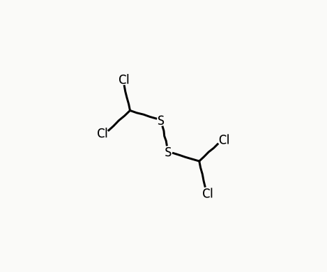 ClC(Cl)SSC(Cl)Cl